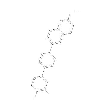 CCCCCCc1ccc2cc(-c3ccc(-c4ccc(F)c(F)c4)cc3)ccc2c1